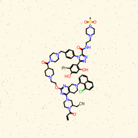 C=CC(=O)N1CCN(c2nc(OCCN3CCC(C(=O)N4CCN(Cc5ccc(-n6c(C(=O)NCCN7CCN(S(C)(=O)=O)CC7)nnc6-c6cc(C(C)C)c(O)cc6O)cc5)CC4)CC3)nc3c2CCN(c2cccc4cccc(Cl)c24)C3)CC1CC#N